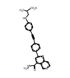 CC(CNc1ccc(C#Cc2ccc(-c3cc(C(=O)NN)c4cnccc4n3)cc2)cc1)C(=O)O